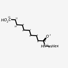 CCCCCCNC(=O)CCCCCCCCC(=O)O